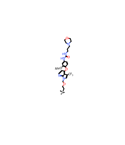 COc1cc(NC(=O)NCCCN2CCOCC2)ccc1Oc1ccnc2c1c(C(F)(F)F)cn2COCC[Si](C)(C)C